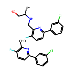 CC(C)[C@H](CO)NCc1nc(-c2cccc(Cl)c2)ccc1F.O=Cc1nc(-c2cccc(Cl)c2)ccc1F